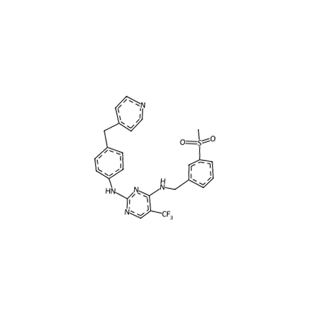 CS(=O)(=O)c1cccc(CNc2nc(Nc3ccc(Cc4ccncc4)cc3)ncc2C(F)(F)F)c1